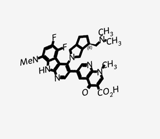 CNc1cc(F)c(F)c2c1[nH]c1ncc(-c3cnc4c(c3)c(=O)c(C(=O)O)cn4C)c(N3CC4CC[C@@H](CN(C)C)C4C3)c12